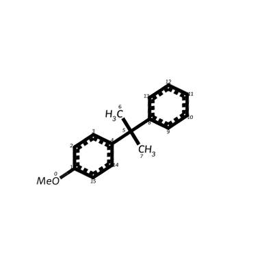 COc1ccc(C(C)(C)c2ccccc2)cc1